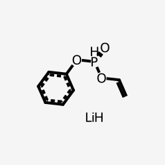 C=CO[PH](=O)Oc1ccccc1.[LiH]